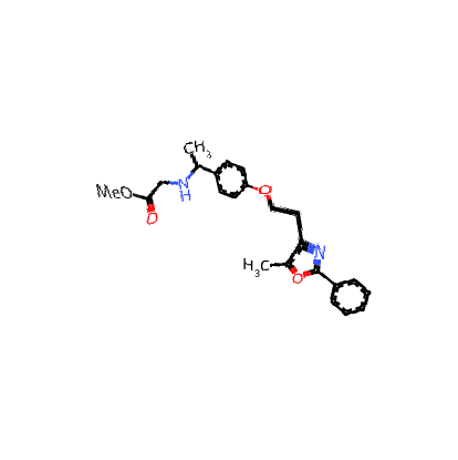 COC(=O)CNC(C)c1ccc(OCCc2nc(-c3ccccc3)oc2C)cc1